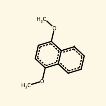 COc1ccc(OC)c2ccc[c]c12